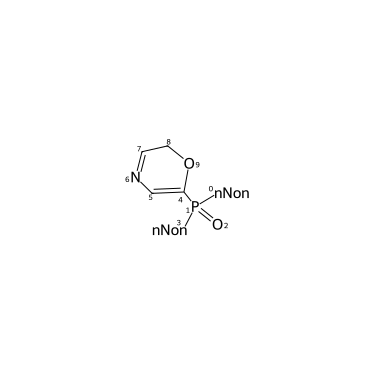 CCCCCCCCCP(=O)(CCCCCCCCC)C1=CN=CCO1